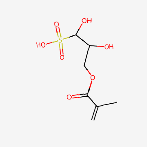 C=C(C)C(=O)OCC(O)C(O)S(=O)(=O)O